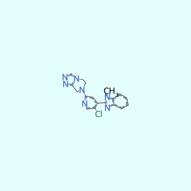 Cn1c(-c2cc(N3CCn4cnnc4C3)ncc2Cl)nc2ccccc21